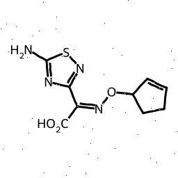 Nc1nc(/C(=N\OC2C=CCC2)C(=O)O)ns1